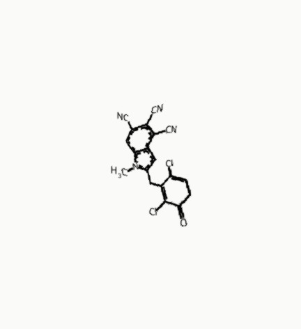 Cn1c(CC2=C(Cl)C(=O)CC=C2Cl)cc2c(C#N)c(C#N)c(C#N)cc21